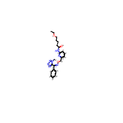 CCOCCCCC(=O)Nc1cccc(CO/N=C(/c2ccccc2)c2nnnn2C)n1